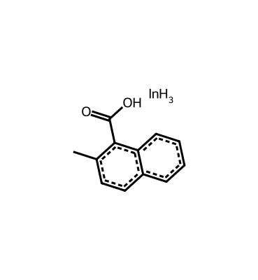 Cc1ccc2ccccc2c1C(=O)O.[InH3]